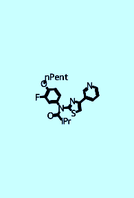 CCCCCOc1ccc(N(C(=O)C(C)C)c2nc(-c3cccnc3)cs2)cc1F